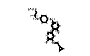 COC[C@@H](C)N[C@H]1CC[C@H](Nc2cc(-c3cnc(F)c(NCC4CC4)c3)c(F)cn2)CC1